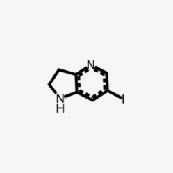 Ic1cnc2c(c1)NCC2